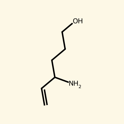 C=CC(N)CCCO